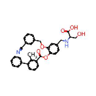 Cc1c(C(=O)Oc2ccc(CNC(CO)C(=O)O)cc2OCc2cccc(C#N)c2)cccc1-c1ccccc1